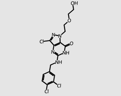 O=c1[nH]c(NCc2ccc(Cl)c(Cl)c2)nc2c(Cl)nn(CCOCCO)c12